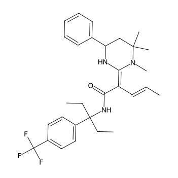 C/C=C/C(C(=O)NC(CC)(CC)c1ccc(C(F)(F)F)cc1)=C1/NC(c2ccccc2)CC(C)(C)N1C